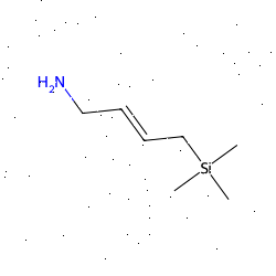 C[Si](C)(C)C/C=C/CN